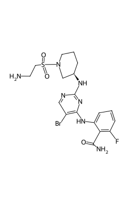 NCCS(=O)(=O)N1CCC[C@@H](Nc2ncc(Br)c(Nc3cccc(F)c3C(N)=O)n2)C1